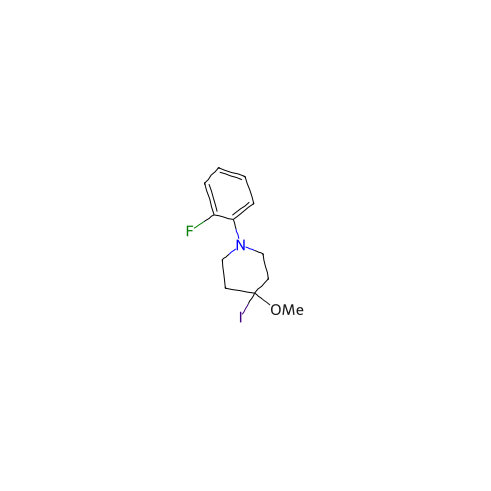 COC1(I)CCN(c2ccccc2F)CC1